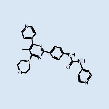 Cc1c(-c2ccncc2)nc(-c2ccc(NC(=O)Nc3ccncc3)cc2)nc1N1CCOCC1